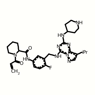 C=CC(=O)N1CCCCC1C(=O)Nc1ccc(F)c(CNc2nc(NC3CCNCC3)nc3c(C(C)C)cnn23)c1